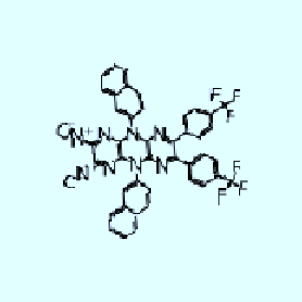 [C-]#[N+]c1nc2c(nc1[N+]#[C-])N(c1ccc3ccccc3c1)c1nc(-c3ccc(C(F)(F)F)cc3)c(-c3ccc(C(F)(F)F)cc3)nc1N2c1ccc2ccccc2c1